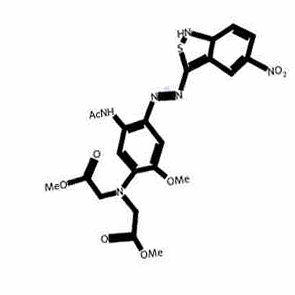 COC(=O)CN(CC(=O)OC)c1cc(NC(C)=O)c(/N=N/C2=C3C=C([N+](=O)[O-])C=CC3NS2)cc1OC